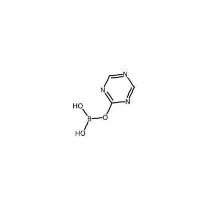 OB(O)Oc1ncncn1